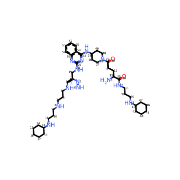 N=N/C(=C\NCCCNCCCNC1CCCCC1)CNc1nc(NC2CCN(C(=O)CCC(N)C(=O)NCCCNC3CCCCC3)CC2)c2ccccc2n1